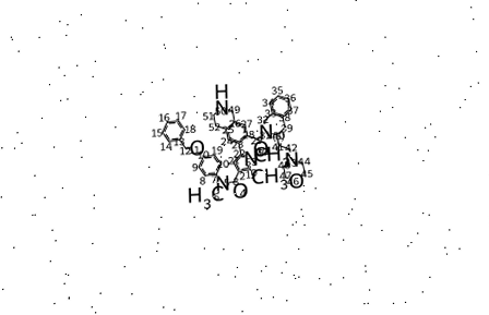 Cc1c(C(=O)N(C)c2ccc(OCc3ccccc3)cc2)cc(-c2cc3c(cc2C(=O)N2Cc4ccccc4C[C@H]2CCN2CCOCC2)CNCC3)n1C